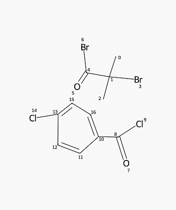 CC(C)(Br)C(=O)Br.O=C(Cl)c1ccc(Cl)cc1